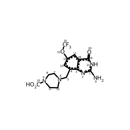 Nc1nc2c(CN3CCN(C(=O)O)CC3)cc(OC(F)(F)F)cc2c(=O)[nH]1